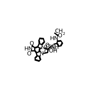 C=CC(=O)Nc1ccccc1CNC(=O)[C@@]1(O)CC2O[C@]1(C)n1c3ccccc3c3c4c(c5c6ccccc6n2c5c31)C(=O)NC4=O